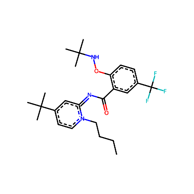 CCCCn1ccc(C(C)(C)C)cc1=NC(=O)c1cc(C(F)(F)F)ccc1ONC(C)(C)C